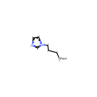 [CH2]CCCCCCCn1ccnc1